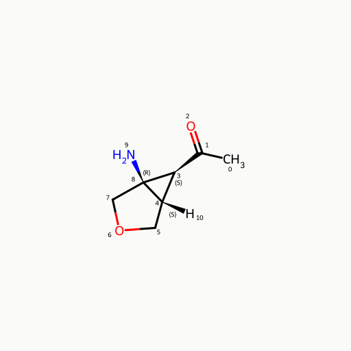 CC(=O)[C@H]1[C@@H]2COC[C@@]21N